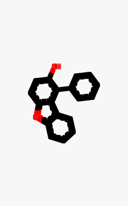 Oc1ccc2oc3ccccc3c2c1-c1ccccc1